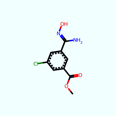 COC(=O)c1cc(Cl)cc(/C(N)=N/O)c1